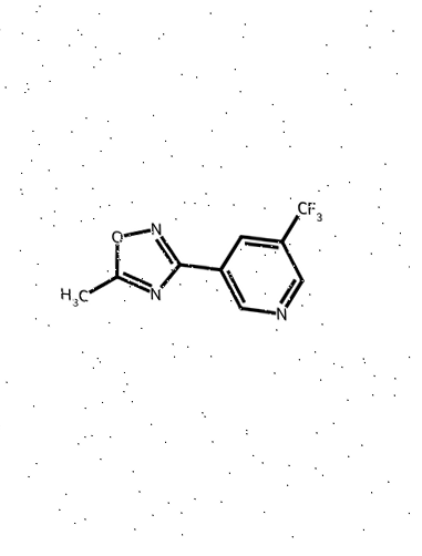 Cc1nc(-c2cncc(C(F)(F)F)c2)no1